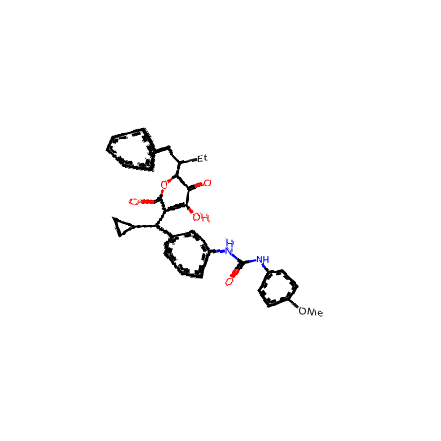 CCC(Cc1ccccc1)C1OC(=O)C(C(c2cccc(NC(=O)Nc3ccc(OC)cc3)c2)C2CC2)=C(O)C1=O